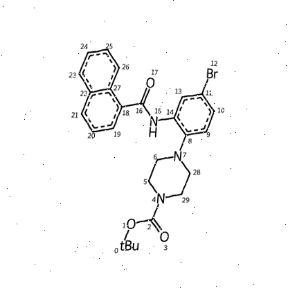 CC(C)(C)OC(=O)N1CCN(c2ccc(Br)cc2NC(=O)c2cccc3ccccc23)CC1